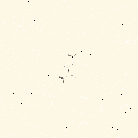 N[C@@H](C(=O)O)C(F)CC(=O)O